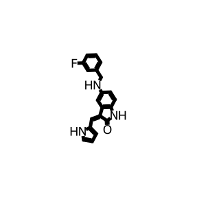 O=C1Nc2ccc(NCc3cccc(F)c3)cc2/C1=C/c1ccc[nH]1